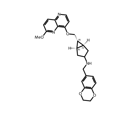 COc1ccc2nccc(OC[C@@H]3[C@H]4CC(NCc5ccc6c(c5)OCCO6)C[C@@H]34)c2n1